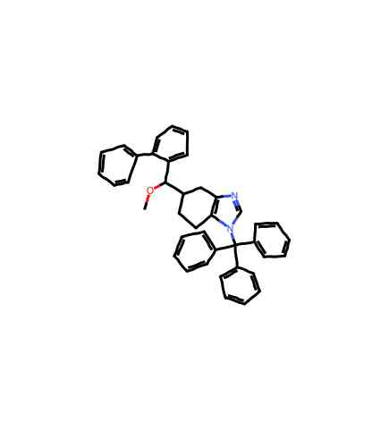 COC(c1ccccc1-c1ccccc1)C1CCc2c(ncn2C(c2ccccc2)(c2ccccc2)c2ccccc2)C1